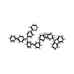 C1=CCCC(c2ccc(N(c3ccc(-c4ccccc4)cc3)c3cccc(-c4cccc(-c5ccc6oc7ccc(-n8c9ccccc9c9ccccc98)cc7c6c5)c4)c3)cc2)=C1